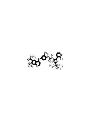 COc1cc2nccc(Oc3ccc(NC(=O)Nc4[nH]c(C(C)(C)C)nc4-c4cccnc4Cl)c(Cl)c3)c2cc1C(N)=O